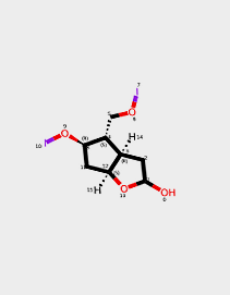 OC1C[C@@H]2[C@@H](COI)[C@H](OI)C[C@@H]2O1